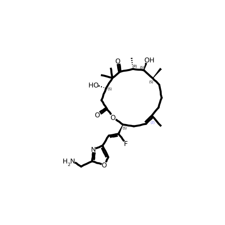 C/C1=C/C[C@@H](C(F)=Cc2coc(CN)n2)OC(=O)C[C@H](O)C(C)(C)C(=O)[C@H](C)[C@@H](O)[C@@H](C)CCC1